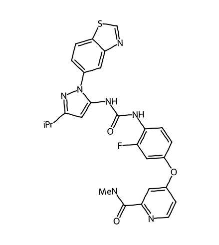 CNC(=O)c1cc(Oc2ccc(NC(=O)Nc3cc(C(C)C)nn3-c3ccc4scnc4c3)c(F)c2)ccn1